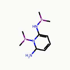 CP(C)NC1=CC=CC(N)N1P(C)C